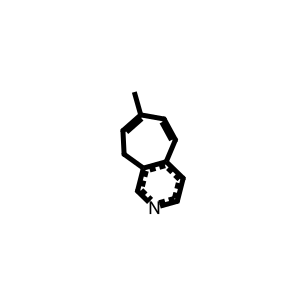 CC1=CCc2cnccc2C=C1